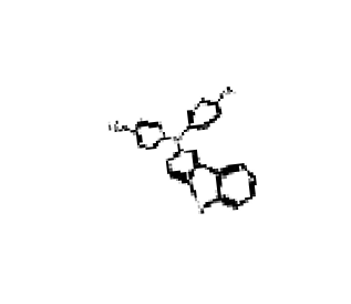 N#Cc1ccc(N(c2ccc(C#N)cc2)c2ccc3sc4ccccc4c3c2)cc1